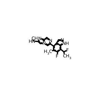 CNc1cn2cc(-c3c(C)c(F)c(C(C)F)c4[nH]ncc34)ncc2n1